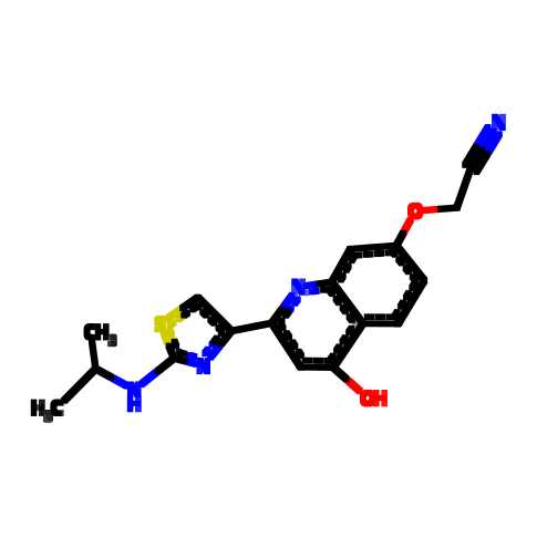 CC(C)Nc1nc(-c2cc(O)c3ccc(OCC#N)cc3n2)cs1